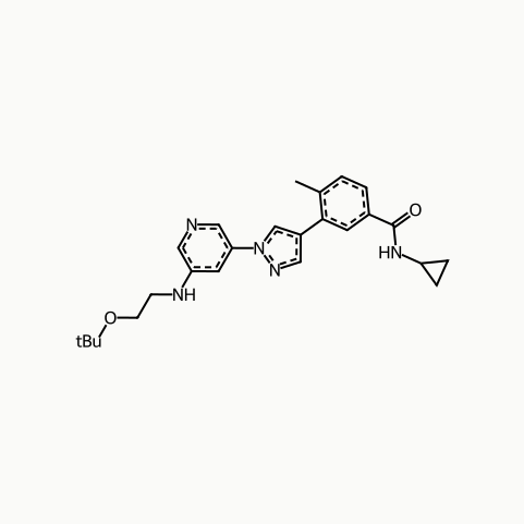 Cc1ccc(C(=O)NC2CC2)cc1-c1cnn(-c2cncc(NCCOC(C)(C)C)c2)c1